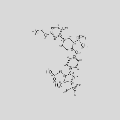 CCOc1ccc(F)c(N2CCC(Oc3ccc(N4N=C(C(F)(F)F)C(C)C4CC(=O)O)cc3)C(C(C)C)C2)c1